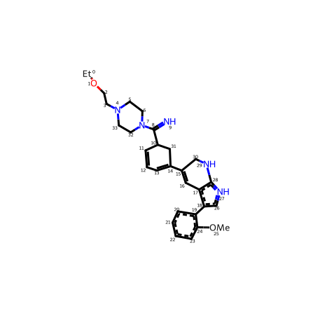 CCOCCN1CCN(C(=N)C2C=CC=C(C3=Cc4c(-c5ccccc5OC)c[nH]c4NC3)C2)CC1